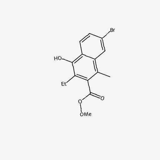 CCc1c(C(=O)OOC)c(C)c2cc(Br)ccc2c1O